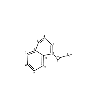 [P]Oc1cccc2ccccc12